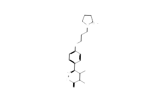 CC1C(=O)NN=C(c2ccc(OCCCN3CCC[C@H]3C)cc2)C1C